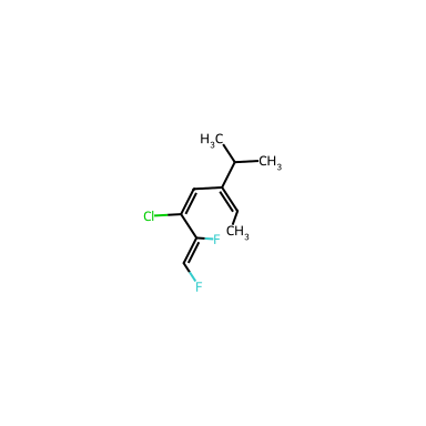 C\C=C(/C=C(Cl)\C(F)=C\F)C(C)C